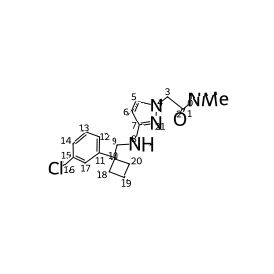 CNC(=O)Cn1ccc(NCC2(c3cccc(Cl)c3)CCC2)n1